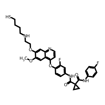 COc1cc2c(Oc3ccc(NC(=O)C4(C(=O)Nc5ccc(F)cc5)CC4)cc3F)ccnc2cc1OCCNCCCCS